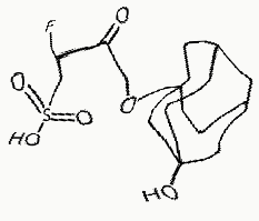 O=C(OC12CC3CC(CC(O)(C3)C1)C2)C(F)S(=O)(=O)O